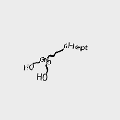 CCCCCCCCCC=CN(OCCO)OCCO